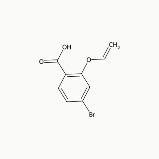 C=COc1cc(Br)ccc1C(=O)O